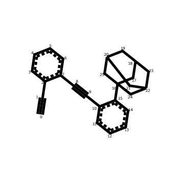 C#Cc1ccccc1C#Cc1ccccc1C12CC3CC(CC(C3)C1)C2